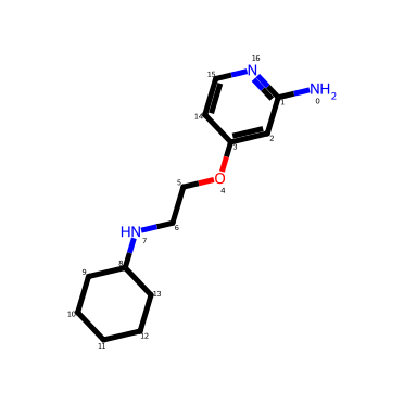 Nc1cc(OCCNC2CCCCC2)ccn1